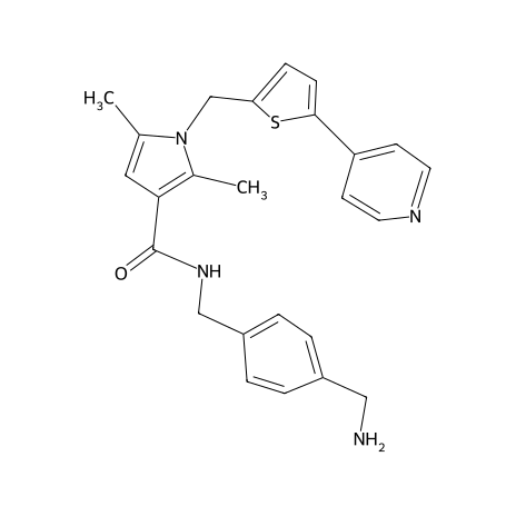 Cc1cc(C(=O)NCc2ccc(CN)cc2)c(C)n1Cc1ccc(-c2ccncc2)s1